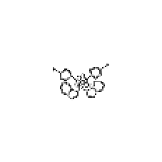 [CH2]=[Ti]([O]C(=O)c1ccc(F)cc1)([O]C(=O)c1ccc(F)cc1)([CH]1C=Cc2ccccc21)[CH]1C=Cc2ccccc21